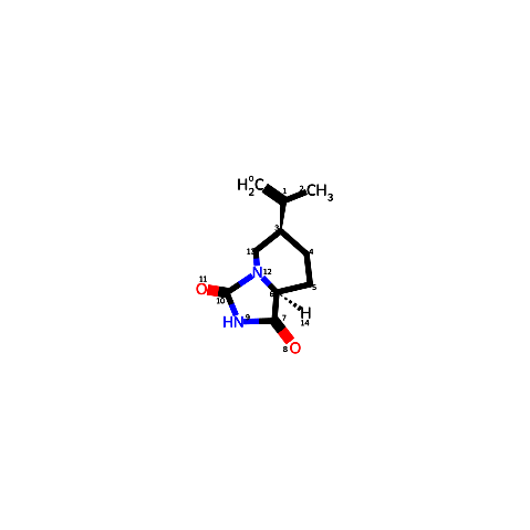 C=C(C)[C@H]1CC[C@H]2C(=O)NC(=O)N2C1